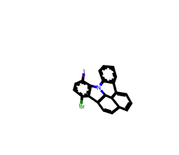 Brc1ccc(I)c2c1C1C=CC3C=CC=C4c5ccccc5N2C1C43